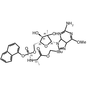 COC1=NC(N)=NC2C1N=CN2[C@@H]1O[C@H](CO[P@@](=O)(N[C@@H](C)C(=O)OCC(C)(C)C)Oc2cccc3ccccc23)[C@@H](O)[C@@]1(C)O